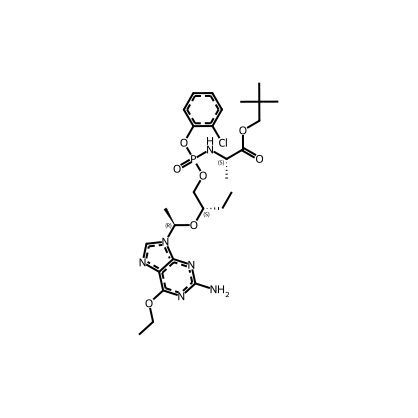 CCOc1nc(N)nc2c1ncn2[C@@H](C)O[C@@H](CC)COP(=O)(N[C@@H](C)C(=O)OCC(C)(C)C)Oc1ccccc1Cl